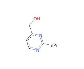 CCCc1nccc(CO)n1